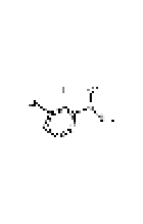 N[S+]([O-])c1cccc(Cl)c1F